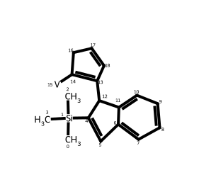 C[Si](C)(C)C1=Cc2ccccc2C1C1=[C]([V])CC=C1